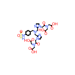 O=C(O)CN(CC(=O)O)C(=O)Cn1ccnc1CN(Cc1ccc(N[SH](=O)=O)cc1)Cc1nccn1CC(=O)N(CC(=O)O)CC(=O)O